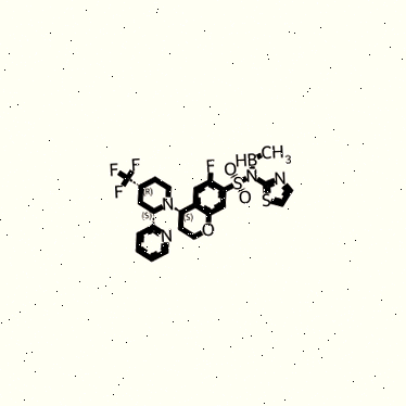 CBN(c1nccs1)S(=O)(=O)c1cc2c(cc1F)[C@@H](N1CC[C@@H](C(F)(F)F)C[C@H]1c1ccccn1)CCO2